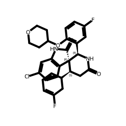 O=C1C[C@@H](C2C=CC=C(F)C2)[C@]2(C(=O)Nc3cc(Cl)ccc32)[C@@H](c2cc(F)ccc2OC2CCOCC2)N1